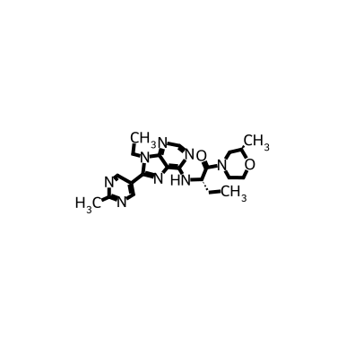 CC[C@H](Nc1ncnc2c1nc(-c1cnc(C)nc1)n2CC)C(=O)N1CCO[C@@H](C)C1